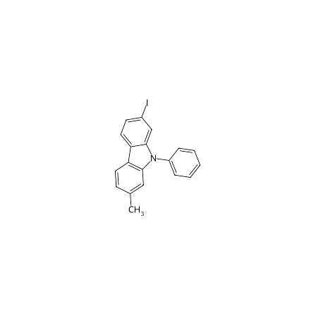 Cc1ccc2c3ccc(I)cc3n(-c3ccccc3)c2c1